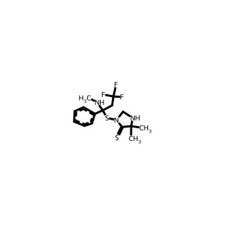 CNC(CC(F)(F)F)(SN1CNC(C)(C)C1=S)c1ccccc1